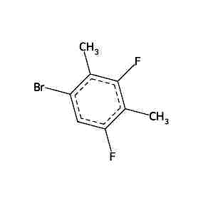 Cc1c(F)cc(Br)c(C)c1F